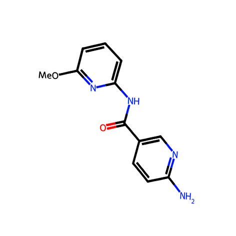 COc1cccc(NC(=O)c2ccc(N)nc2)n1